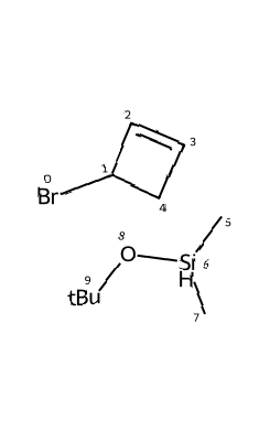 BrC1C=CC1.C[SiH](C)OC(C)(C)C